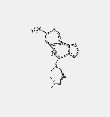 CN1CCCN(c2nc3cc(N)ccc3c3sccc23)CC1